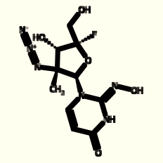 C[C@]1(N=[N+]=[N-])[C@H](n2ccc(=O)[nH]/c2=N\O)O[C@](F)(CO)[C@H]1O